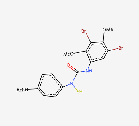 COc1c(Br)cc(NC(=O)N(S)c2ccc(NC(C)=O)cc2)c(OC)c1Br